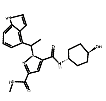 CNC(=O)c1cc(C(=O)N[C@H]2CC[C@H](O)CC2)n(C(C)c2cccc3[nH]ccc23)n1